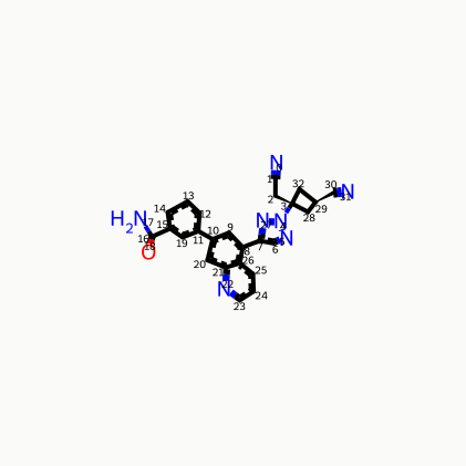 N#CC[C@]1(n2ncc(-c3cc(-c4cccc(C(N)=O)c4)cc4ncccc34)n2)C[C@H](C#N)C1